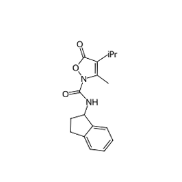 Cc1c(C(C)C)c(=O)on1C(=O)NC1CCc2ccccc21